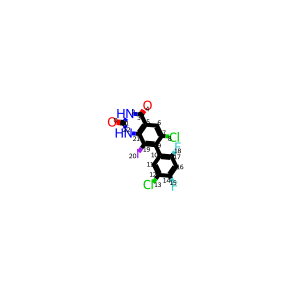 O=c1[nH]c(=O)c2cc(Cl)c(-c3cc(Cl)c(F)cc3F)c(I)c2[nH]1